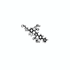 Cc1cc(NCCCCl)ccc1N(C(=O)OC(C)(C)C)c1cc(-c2ccc(-n3cccn3)cc2)n(C(=O)OC(C)(C)C)n1